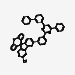 N#Cc1ccc2c(c1)-c1cc(-c3cccc(-c4nc(-c5ccccc5)cc(-c5cccc(-c6ccccc6)c5)n4)c3)ccc1C21c2ccccc2Sc2ccccc21